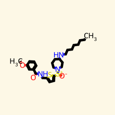 CCCCCCCCNC1CCCN([S+]([O-])c2ccc(CNC(=O)c3cccc(OC)c3)s2)CC1